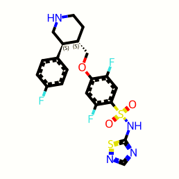 O=S(=O)(Nc1ncns1)c1cc(F)c(OC[C@H]2CCNC[C@@H]2c2ccc(F)cc2)cc1F